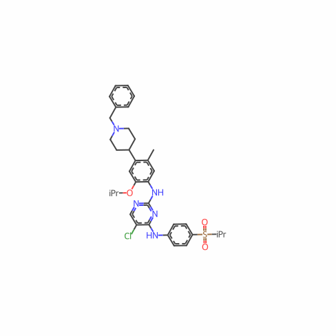 Cc1cc(Nc2ncc(Cl)c(Nc3ccc(S(=O)(=O)C(C)C)cc3)n2)c(OC(C)C)cc1C1CCN(Cc2ccccc2)CC1